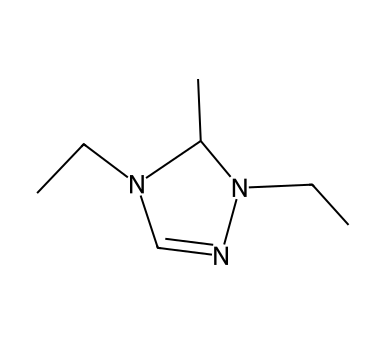 CCN1C=NN(CC)C1C